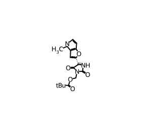 Cc1nccc2oc([C@@H]3NC(=O)N(COC(=O)C(C)(C)C)C3=O)cc12